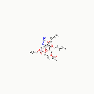 CCCCO[C@@H]1C(COC(C)=O)O[C@H](CP(=O)(OCC)OCC)C(N=[N+]=[N-])[C@H]1OCCCC